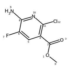 COC(=O)c1cc(F)c(N)nc1Cl